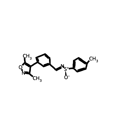 Cc1ccc([S@@+]([O-])N=Cc2cccc(-c3c(C)noc3C)c2)cc1